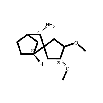 COC1CC2(C[C@H]1OC)[C@@H]1CCC(C1)[C@@H]2N